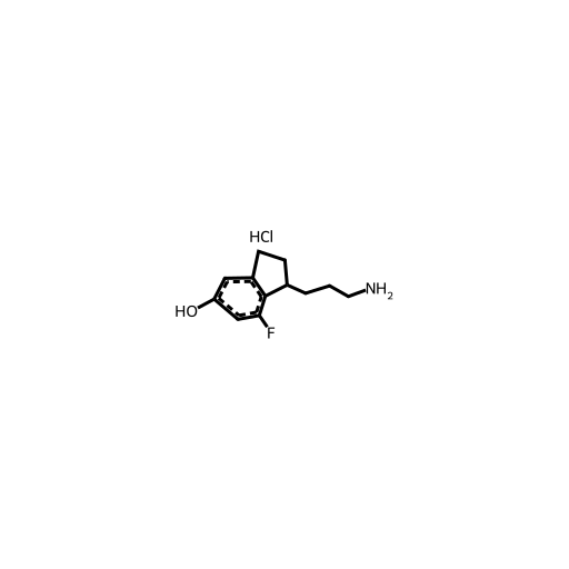 Cl.NCCCC1CCc2cc(O)cc(F)c21